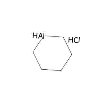 C1C[CH2][AlH][CH2]C1.Cl